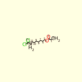 C=CC(=O)OCCCCCCC[SiH2]C(Cl)Cl